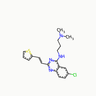 CN(C)CCCNc1nc(/C=C/c2cccs2)nc2ccc(Cl)cc12